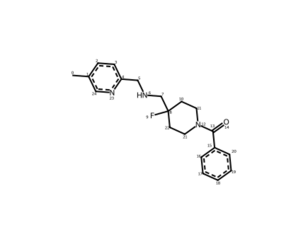 Cc1ccc(CNCC2(F)CCN(C(=O)c3ccccc3)CC2)nc1